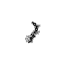 CCNC(=O)[C@H]1O[C@@H](n2cnc3c(NC(=O)Nc4ccc(S(=O)(=O)Nc5ccc(OC)cc5)cc4)ncnc32)[C@@H](O)C1O